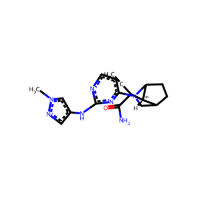 CCC(C(N)=O)[C@H]1C2CCC1N(c1ccnc(Nc3cnn(C)c3)n1)C2